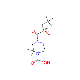 CC(C)(C)C[C@@H](O)C(=O)N1CCN(C(=O)O)C(C)(C)C1